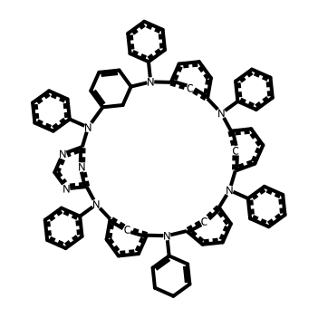 C1=CC2CC(=C1)N(c1ccccc1)c1ncnc(n1)N(c1ccccc1)c1cccc(c1)N(C1=CCCC=C1)c1cccc(c1)N(c1ccccc1)c1cccc(c1)N(c1ccccc1)c1cccc(c1)N2c1ccccc1